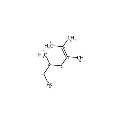 CC(=O)CC(C)CC(C)=C(C)C